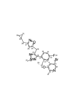 Cc1ncc(Br)cc1O[C@H](C)c1cc(F)ccc1-c1nn(C)nc1Cc1cc(CC2CC2)no1